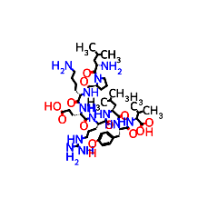 CC(C)C[C@H](NC(=O)[C@H](CCCNC(=N)N)NC(=O)[C@H](CCC(=O)O)NC(=O)[C@H](CCCCN)NC(=O)[C@@H]1CCCN1C(=O)[C@@H](N)CC(C)C)C(=O)N[C@@H](Cc1ccc(O)cc1)C(=O)N[C@H](C(=O)O)C(C)C